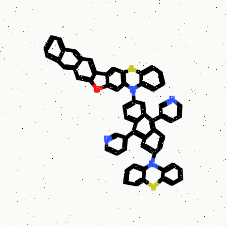 c1cncc(-c2c3ccc(N4c5ccccc5Sc5cc6c(cc54)oc4cc5cc7ccccc7cc5cc46)cc3c(-c3cccnc3)c3ccc(N4c5ccccc5Sc5ccccc54)cc23)c1